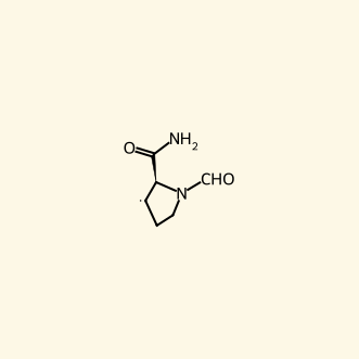 NC(=O)[C@@H]1[CH]CCN1C=O